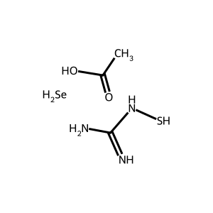 CC(=O)O.N=C(N)NS.[SeH2]